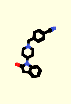 N#Cc1ccc(CN2CCC(N3C(=O)Cc4ccccc43)CC2)cc1